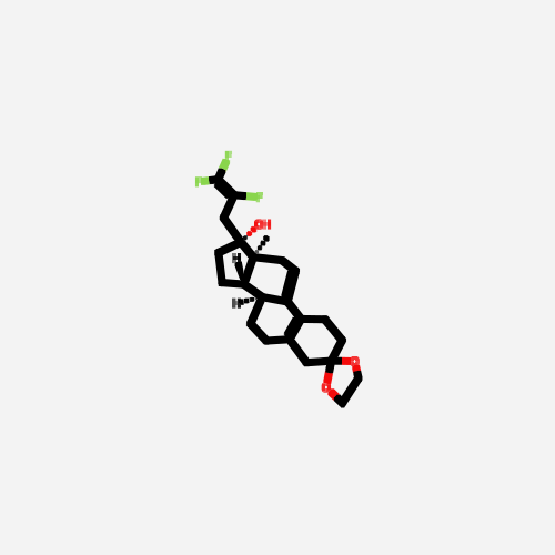 C[C@]12CC=C3C4=C(CC[C@H]3[C@@H]1CC[C@@]2(O)CC(F)=C(F)F)CC1(CC4)OCCO1